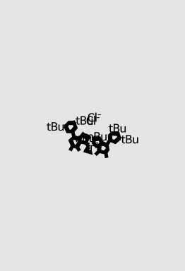 CCCCC1=Cc2c(-c3cc(C(C)(C)C)cc(C(C)(C)C)c3)cc(C)c(C)c2[CH]1[Zr+2]1([CH]2C(CCCC)=Cc3c(-c4cc(C(C)(C)C)cc(C(C)(C)C)c4)cc(C)c(C)c32)[CH2][CH2]1.[Cl-].[Cl-]